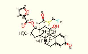 CC1C[C@H]2[C@@H]3CCC4=CC(=O)C=C[C@]4(C)[C@H]3C(O)C[C@]2(CC(=O)SCF)C1OC(=O)c1ccco1